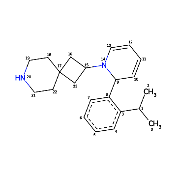 CC(C)c1ccccc1C1C=CC=CN1C1CC2(CCNCC2)C1